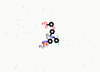 Cc1c(NS(C)(=O)=O)cccc1N(Cc1ccc(Oc2cccc(C(=O)O)c2)cc1)Cc1ccc(F)cc1F